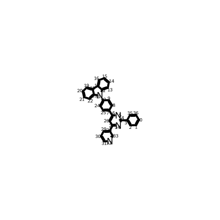 c1ccc(-c2nc(-c3ccc(-n4c5ccccc5c5ccccc54)cc3)cc(-c3cccnc3)n2)cc1